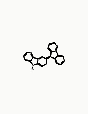 CCn1c2c(c3ccccc31)=CC(=C1c3ccccc3-c3ccccc31)CC=2